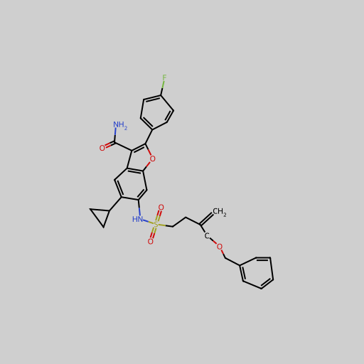 C=C(CCS(=O)(=O)Nc1cc2oc(-c3ccc(F)cc3)c(C(N)=O)c2cc1C1CC1)COCc1ccccc1